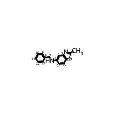 Cc1nc2cc(NCc3ccccc3)ccc2s1